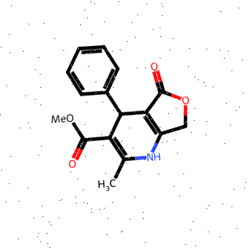 COC(=O)C1=C(C)NC2=C(C(=O)OC2)C1c1ccccc1